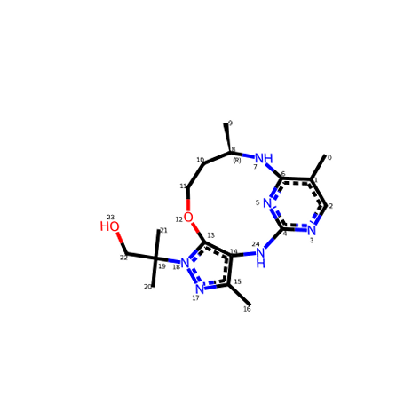 Cc1cnc2nc1N[C@H](C)CCOc1c(c(C)nn1C(C)(C)CO)N2